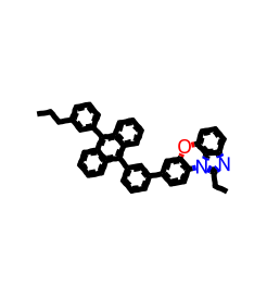 CCCc1cccc(-c2c3ccccc3c(-c3cccc(-c4ccc5c(c4)Oc4cccc6nc(CC)n-5c46)c3)c3ccccc23)c1